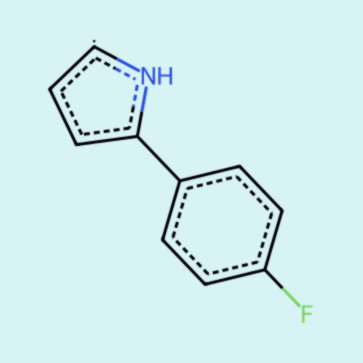 Fc1ccc(-c2cc[c][nH]2)cc1